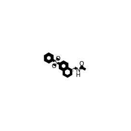 CC(=O)NC[C@@H]1CCCc2cc(S(=O)(=O)c3ccccc3)ccc21